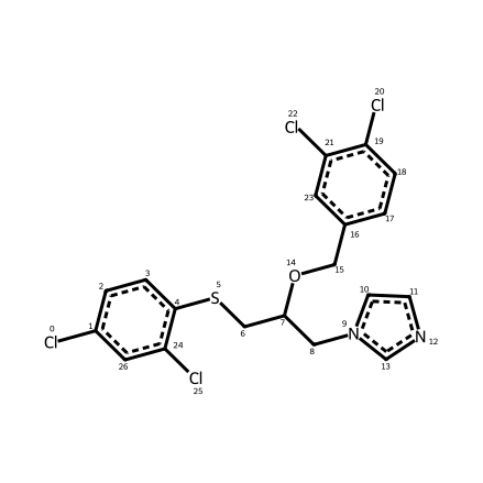 Clc1ccc(SCC(Cn2ccnc2)OCc2ccc(Cl)c(Cl)c2)c(Cl)c1